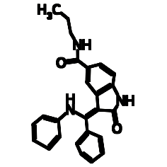 CCCNC(=O)c1ccc2c(c1)C(=C(Nc1ccccc1)c1ccccc1)C(=O)N2